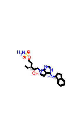 CC[C@@H](CCOS(N)(=O)=O)[C@@H](O)Cn1ccc2c(N[C@H]3CCc4ccccc43)ncnc21